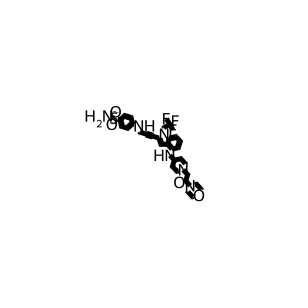 NS(=O)(=O)c1ccc(NCC#Cc2cc3c(NC4CCN(CC(=O)N5CCOCC5)CC4)cccc3n2CC(F)(F)F)cc1